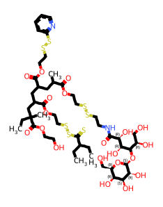 CCC(CC)C(=S)SSCCOC(=O)C(CC(CC(C)C(=O)OCCSSCCNC(=O)[C@H](O)[C@@H](O)C(O[C@@H]1O[C@H](CO)[C@H](O)[C@H](O)[C@H]1O)[C@H](O)CO)C(=O)OCCSSc1ccccn1)CC(C)(CC)C(=O)OCCO